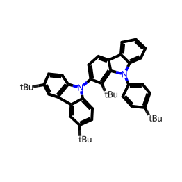 CC(C)(C)c1ccc(-n2c3ccccc3c3ccc(-n4c5ccc(C(C)(C)C)cc5c5cc(C(C)(C)C)ccc54)c(C(C)(C)C)c32)cc1